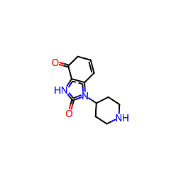 O=C1CC=Cc2c1[nH]c(=O)n2C1CCNCC1